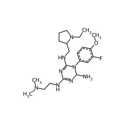 CCN1CCCC1CNC1=NC(NCCN(C)C)=NC(N)N1c1ccc(OC)c(F)c1